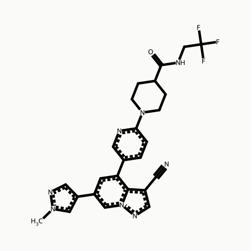 Cn1cc(-c2cc(-c3ccc(N4CCC(C(=O)NCC(F)(F)F)CC4)nc3)c3c(C#N)cnn3c2)cn1